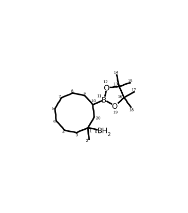 BC1(C)CCCCCCCC(B2OC(C)(C)C(C)(C)O2)C1